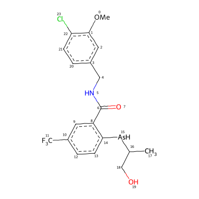 COc1cc(CNC(=O)c2cc(C(F)(F)F)ccc2[AsH]C(C)CO)ccc1Cl